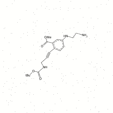 COC(=O)c1cc(NCCN)ccc1C#CCNC(=O)OC(C)(C)C